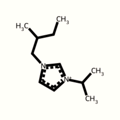 CCC(C)Cn1cc[n+](C(C)C)c1